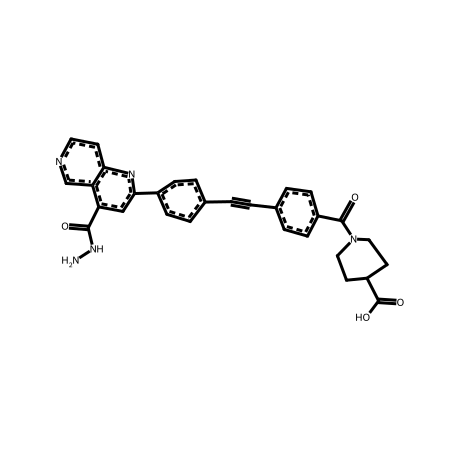 NNC(=O)c1cc(-c2ccc(C#Cc3ccc(C(=O)N4CCC(C(=O)O)CC4)cc3)cc2)nc2ccncc12